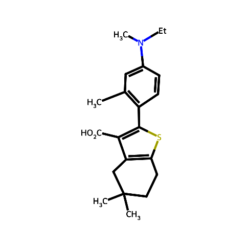 CCN(C)c1ccc(-c2sc3c(c2C(=O)O)CC(C)(C)CC3)c(C)c1